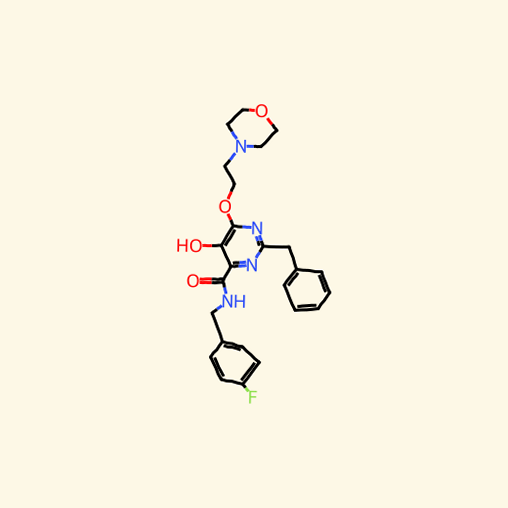 O=C(NCc1ccc(F)cc1)c1nc(Cc2ccccc2)nc(OCCN2CCOCC2)c1O